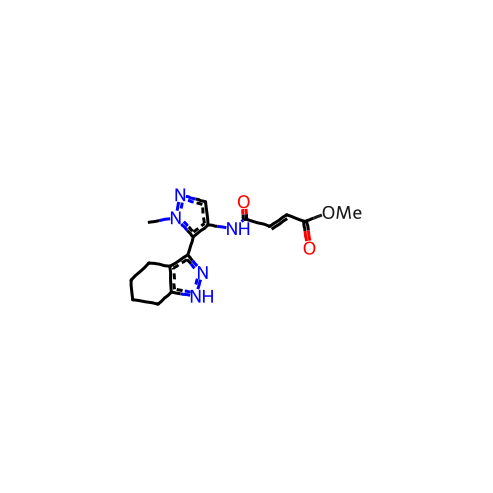 COC(=O)/C=C/C(=O)Nc1cnn(C)c1-c1n[nH]c2c1CCCC2